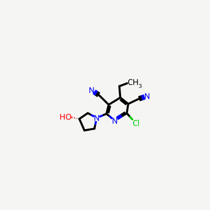 CCc1c(C#N)c(Cl)nc(N2CC[C@H](O)C2)c1C#N